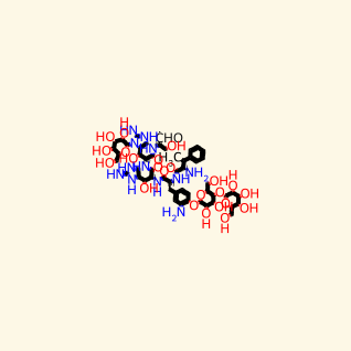 CC(c1ccccc1)[C@H](N)C(=O)N[C@@H](Cc1ccc(OC2OC(CO)C(OC3OC(CO)C(O)C(O)C3O)C(O)C2O)c(N)c1)C(=O)N[C@H](C(=O)N[C@H](C(=O)N[C@H]([C]=O)CO)C(O)C1CNC(=N)N1C1OC(CO)C(O)C(O)C1O)C(O)C1CNC(=N)N1